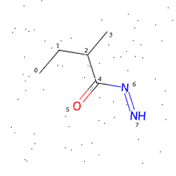 CCC(C)C(=O)N=N